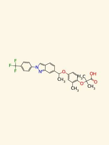 Cc1cc(OC(C)c2ccc3cn(-c4ccc(C(F)(F)F)cc4)nc3c2)ccc1OC(C)(C)C(=O)O